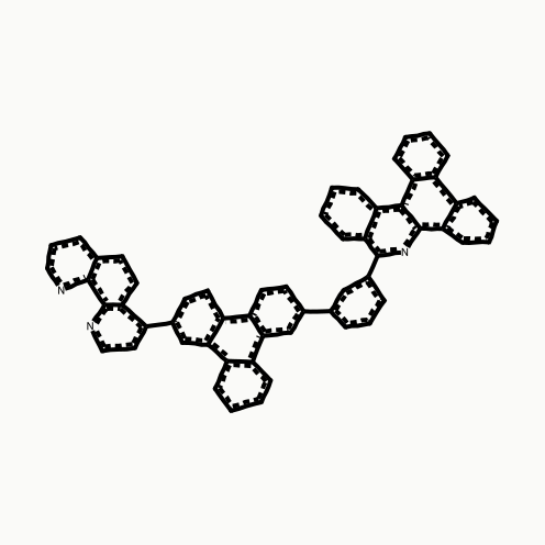 c1cc(-c2ccc3c4ccc(-c5ccnc6c5ccc5cccnc56)cc4c4ccccc4c3c2)cc(-c2nc3c4ccccc4c4ccccc4c3c3ccccc23)c1